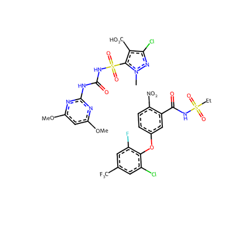 CCS(=O)(=O)NC(=O)c1cc(Oc2c(F)cc(C(F)(F)F)cc2Cl)ccc1[N+](=O)[O-].COc1cc(OC)nc(NC(=O)NS(=O)(=O)c2c(C(=O)O)c(Cl)nn2C)n1